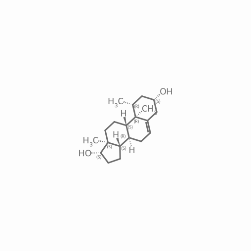 C[C@@H]1C[C@H](O)CC2=CC[C@H]3[C@@H]4CC[C@H](O)[C@@]4(C)CC[C@@H]3[C@]21C